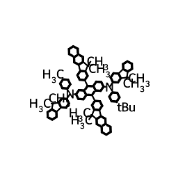 Cc1ccc(N(c2ccc3c(c2)C(C)(C)c2ccccc2-3)c2ccc3c(-c4ccc5c(c4)C(C)(C)c4cc6ccccc6cc4-5)c4cc(N(c5ccc(C(C)(C)C)cc5)c5ccc6c(c5)C(C)(C)c5ccccc5-6)ccc4c(-c4ccc5c(c4)C(C)(C)c4cc6ccccc6cc4-5)c3c2)cc1